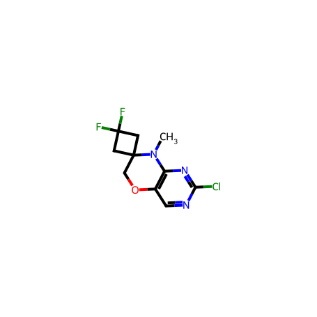 CN1c2nc(Cl)ncc2OCC12CC(F)(F)C2